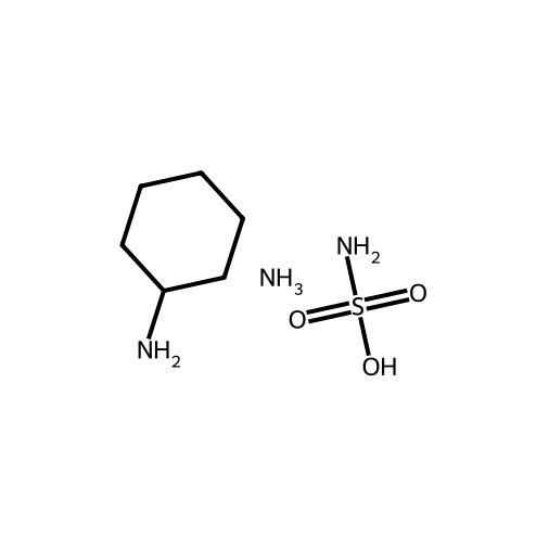 N.NC1CCCCC1.NS(=O)(=O)O